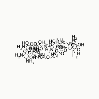 NCC1O[C@H](OC2C(N)C[C@@H](N)C(O)[C@H]2O[C@@H]2O[C@H](Cn3cc(COCc4cn(C[C@H]5O[C@@H](O[C@H]6C(O[C@@H]7OC(CN)C(O)[C@H](O)C7N)C(N)C[C@@H](N)C6O)C(O)[C@H]5O[C@H]5O[C@@H](CN)C(O)C(O)C5N)nn4)nn3)C(O[C@H]3O[C@@H](CN)C(O)C(O)C3N)[C@@H]2O)C(N)[C@@H](O)C1O